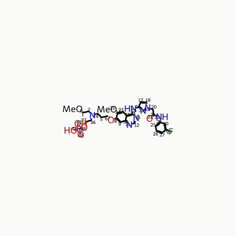 COCCN(CCCOc1cc2ncnc(Nc3ccn(CC(=O)Nc4cccc(F)c4)n3)c2cc1OC)CCOP(=O)(O)O